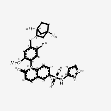 COc1cc(C[C@H]2C[C@H]3CC[C@H]2C3)c(F)cc1-n1c(=O)ccc2cc(S(=O)(=O)Nc3ccon3)ccc21